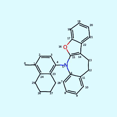 Cc1ccc(N2c3ccccc3CCc3c2oc2ccccc32)c2c1CCCC2